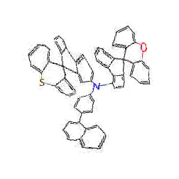 c1ccc2c(c1)Oc1ccccc1C21c2ccccc2-c2c(N(c3ccc(-c4cccc5ccccc45)cc3)c3ccc4c(c3)C3(c5ccccc5Sc5ccccc53)c3ccccc3-4)cccc21